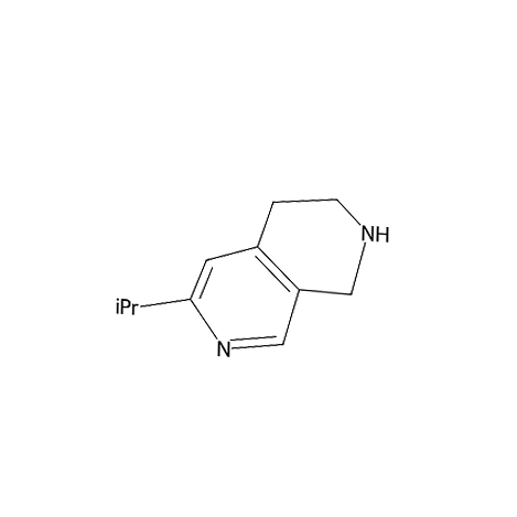 CC(C)c1cc2c(cn1)CNCC2